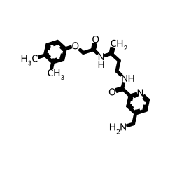 C=C(CCNC(=O)c1cc(CN)ccn1)NC(=O)COc1ccc(C)c(C)c1